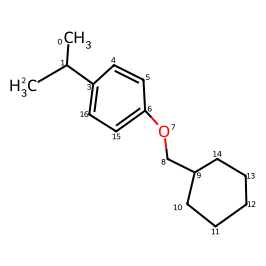 CC(C)c1ccc(OCC2CCCCC2)cc1